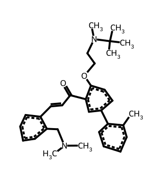 Cc1ccccc1-c1ccc(OCCN(C)C(C)(C)C)c(C(=O)C=Cc2ccccc2CN(C)C)c1